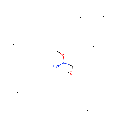 CON(N)C=O